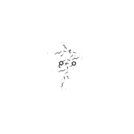 CC(=O)CN(CCCCN)C(=O)CN(CCCCN)C(=O)CN(CC(C)C)C(=O)CN(CCCCN)C(=O)CN(Cc1ccc2c(c1)OCO2)C(=O)CN(C(=O)CN(CCCCN)C(=O)CN(CC(C)C)C(=O)CNCCCCN)C(C)c1ccccc1